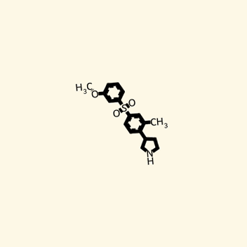 COc1cccc(S(=O)(=O)c2ccc(C3CCNC3)c(C)c2)c1